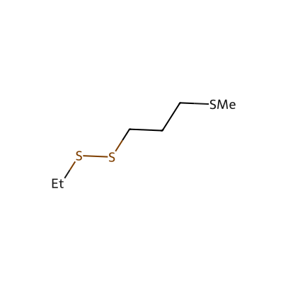 CCSSCCCSC